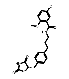 COc1ccc(Cl)cc1C(=O)NCCCc1ccc(C[C@@H]2SC(=O)NC2=O)cc1